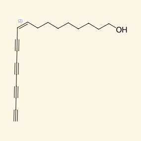 C#CC#CC#CC#C/C=C\CCCCCCCCO